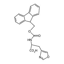 O=C(NC(Cc1cocn1)C(=O)O)OCC1c2ccccc2-c2ccccc21